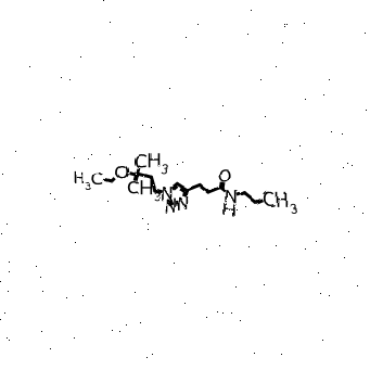 CCCNC(=O)CCc1cn(CCC(C)(C)OCC)nn1